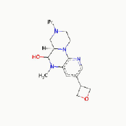 CC(C)N1CCN2c3ncc(C4COC4)cc3N(C)C(O)[C@H]2C1